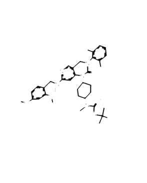 COc1ccc(CNc2cc3c(cn2)CN(c2c(C)cccc2F)C(=O)N3[C@H]2CC[C@@H](N(C)C(=O)OC(C)(C)C)CC2)c(OC)c1